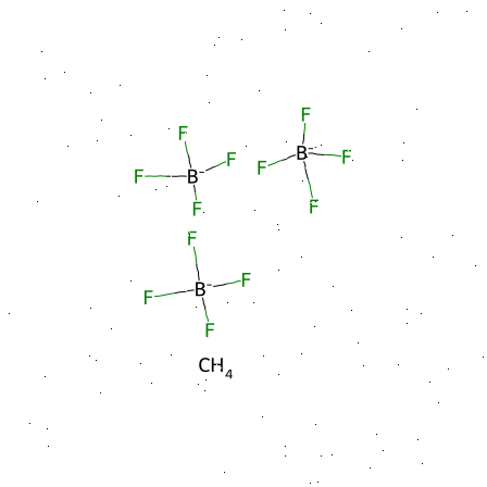 C.F[B-](F)(F)F.F[B-](F)(F)F.F[B-](F)(F)F